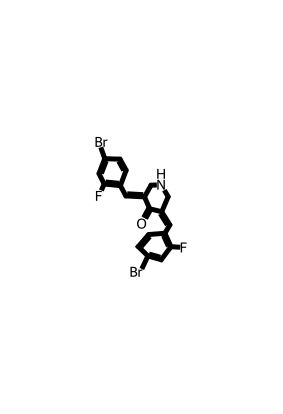 O=C1C(=Cc2ccc(Br)cc2F)CNCC1=Cc1ccc(Br)cc1F